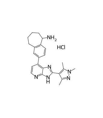 Cc1nn(C)c(C)c1-c1nc2c(-c3ccc4c(c3)CCCCC4N)ccnc2[nH]1.Cl